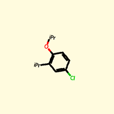 CC(C)Oc1ccc(Cl)cc1C(C)C